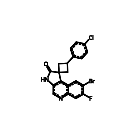 O=C1Nc2cnc3cc(F)c(Br)cc3c2C12CC(c1ccc(Cl)cc1)C2